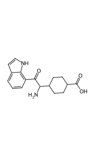 NC(C(=O)c1cccc2cc[nH]c12)C1CCC(C(=O)O)CC1